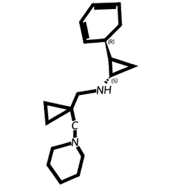 C1=CC[C@@H](C2C[C@@H]2NCC2(CN3CCCCC3)CC2)C=C1